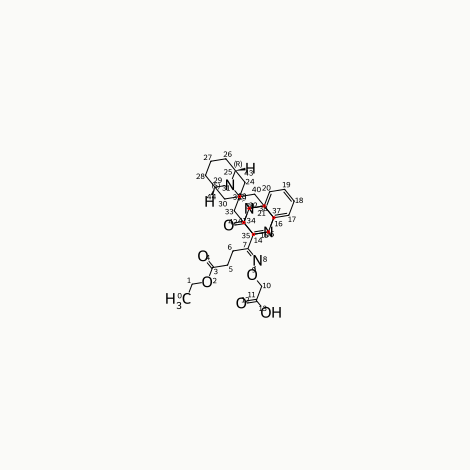 CCOC(=O)CCC(=NOCC(=O)O)c1nc2ccccc2n([C@H]2C[C@H]3CCC[C@@H](C2)N3C2CC3CCCC(C3)C2)c1=O